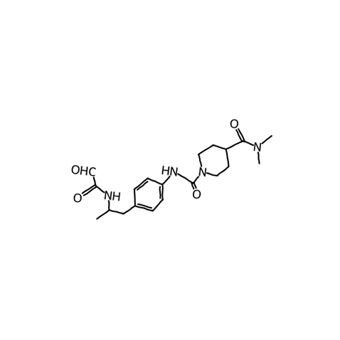 CC(Cc1ccc(NC(=O)N2CCC(C(=O)N(C)C)CC2)cc1)NC(=O)C=O